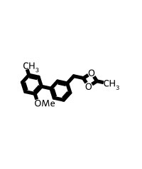 COc1ccc(C)cc1-c1cccc(CC2OC(C)O2)c1